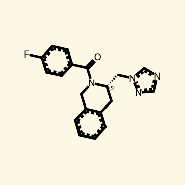 O=C(c1ccc(F)cc1)N1Cc2ccccc2C[C@H]1Cn1cncn1